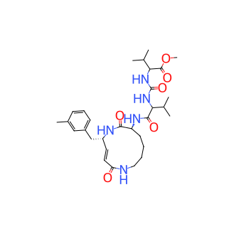 COC(=O)C(NC(=O)NC(C(=O)N[C@H]1CCCCNC(=O)/C=C/[C@H](Cc2cccc(C)c2)NC1=O)C(C)C)C(C)C